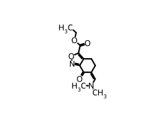 CCOC(=O)c1onc2c1CCC(=CN(C)C)C2=O